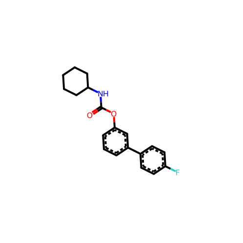 O=C(NC1CCCCC1)Oc1cccc(-c2ccc(F)cc2)c1